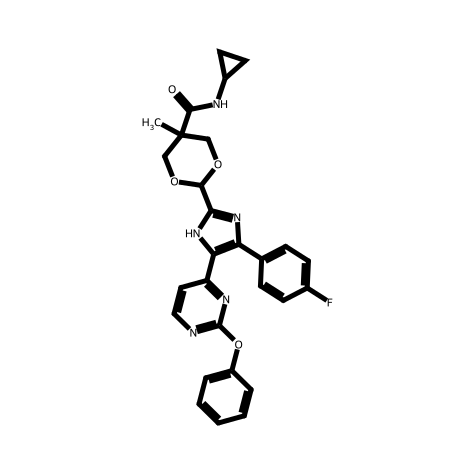 CC1(C(=O)NC2CC2)COC(c2nc(-c3ccc(F)cc3)c(-c3ccnc(Oc4ccccc4)n3)[nH]2)OC1